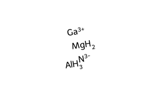 [AlH3].[Ga+3].[MgH2].[N-3]